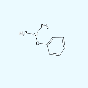 [PH2][Ni]([PH2])[O]c1ccccc1